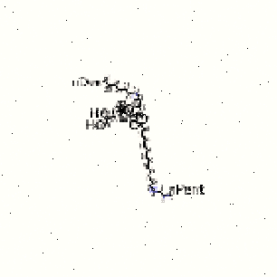 CCCCC/C=C\C/C=C\CCCCCCCCCCCC(=O)O[C@H](CO/C=C\CCCCCCCCCCCCCCCC)COP(=O)(O)OC[C@@H](O)CO